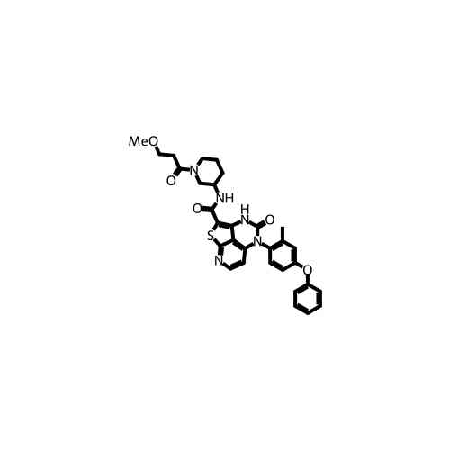 COCCC(=O)N1CCCC(NC(=O)c2sc3nccc4c3c2NC(=O)N4c2ccc(Oc3ccccc3)cc2C)C1